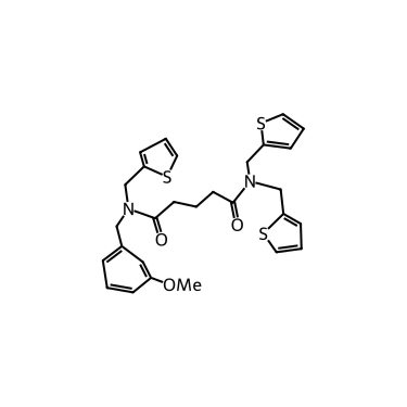 COc1cccc(CN(Cc2cccs2)C(=O)CCCC(=O)N(Cc2cccs2)Cc2cccs2)c1